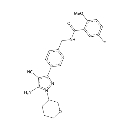 COc1ccc(F)cc1C(=O)NCc1ccc(-c2nn(C3CCCOC3)c(N)c2C#N)cc1